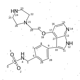 CS(=O)(=O)NCc1ccc(-c2c[nH]c3nccc(OCCN4CCNCC4)c23)cc1